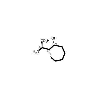 N[C@@H](C(=O)O)[C@H]1CCCCC[C@H]1O